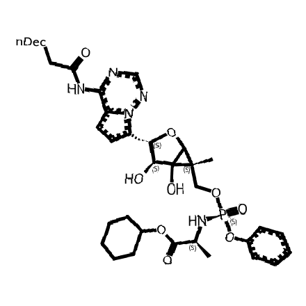 CCCCCCCCCCCC(=O)Nc1ncnn2c([C@@H]3OC4C(O)([C@H]3O)[C@@]4(C)CO[P@@](=O)(N[C@@H](C)C(=O)OC3CCCCC3)Oc3ccccc3)ccc12